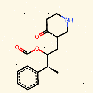 C[C@@H](c1ccccc1)C(CC1CNCCC1=O)OC=O